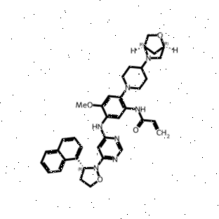 C=CC(=O)Nc1cc(Nc2cc(N3OCC[C@@H]3c3cccc4ccccc34)ncn2)c(OC)cc1N1CCC(N2C[C@H]3C[C@@H]2CO3)CC1